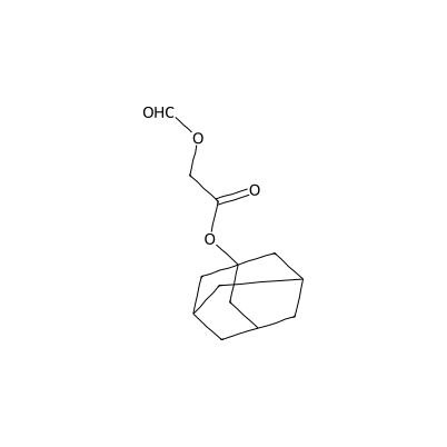 O=COCC(=O)OC12CC3CC(CC(C3)C1)C2